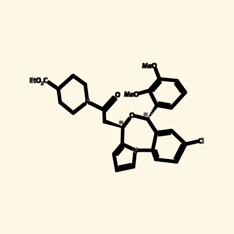 CCOC(=O)C1CCN(C(=O)C[C@H]2O[C@H](c3cccc(OC)c3OC)c3cc(Cl)ccc3-n3cccc32)CC1